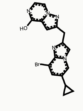 Oc1nccn2nc(Cc3cn4cc(C5CC5)cc(Br)c4n3)cc12